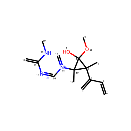 C=CC(=C)C1(C)C(O)(OC)C1(C)[N+](=C)/C=N\C(=C)NC